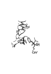 CC[C@@H]1CC[C@H]2C(=CC[C@@]3(C)[C@H](C(=O)O)[C@@](C)([C@H](C)C(C)C)CC[C@]23C)[C@@]1(COC)C[C@H](COC[C@](C)(NCCCO)C(C)C)n1nnc(N)n1